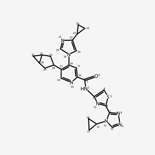 O=C(Nc1csc(-c2nncn2C2CC2)n1)c1cc(-n2cnc(C3CC3)c2)c(C2CC3CC3C2)cn1